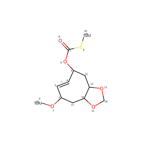 CC(C)(C)OC1/C=C/C(OC(=O)SC(C)(C)C)CC2OCOC2C1